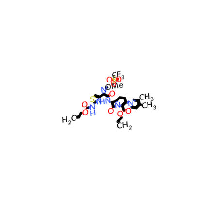 C=CCOC(=O)Nc1nc(/C(=N/OC)C(=O)N[C@H]2C(=O)N3C(C(=O)OCC=C)=C([n+]4ccc(C)c(C)c4)CCC23)cs1.O=S(=O)([O-])C(F)(F)F